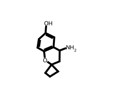 NC1CC2(CCC2)Oc2ccc(O)cc21